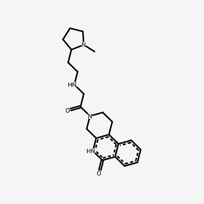 CN1CCCC1CCNCC(=O)N1CCc2c([nH]c(=O)c3ccccc23)C1